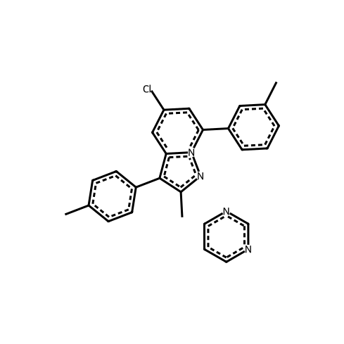 Cc1ccc(-c2c(C)nn3c(-c4cccc(C)c4)cc(Cl)cc23)cc1.c1cncnc1